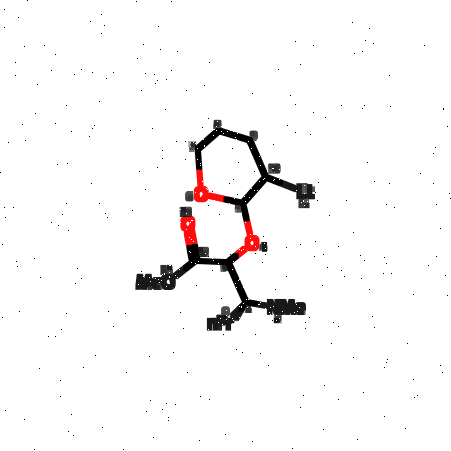 CCC[C@H](NC)C(OC1OCCCC1CC)C(=O)OC